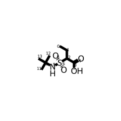 CCC(C(=O)O)S(=O)(=O)NC(C)(C)C